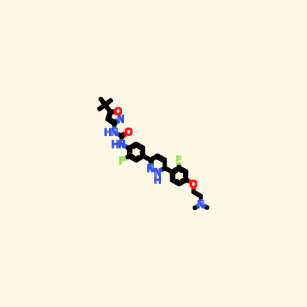 CN(C)CCOc1ccc(C2C=CC(c3ccc(NC(=O)Nc4cc(C(C)(C)C)on4)c(F)c3)=NN2)c(F)c1